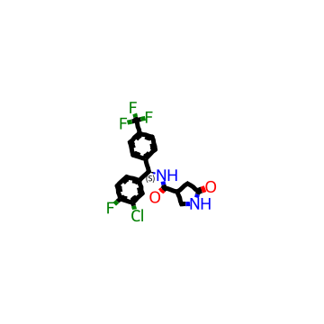 O=C1CC(C(=O)N[C@@H](c2ccc(C(F)(F)F)cc2)c2ccc(F)c(Cl)c2)CN1